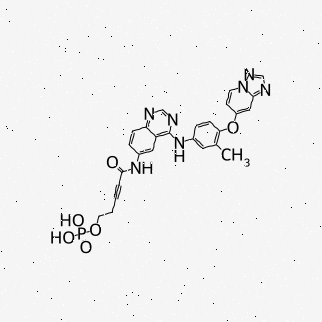 Cc1cc(Nc2ncnc3ccc(NC(=O)C#CCCOP(=O)(O)O)cc23)ccc1Oc1ccn2ncnc2c1